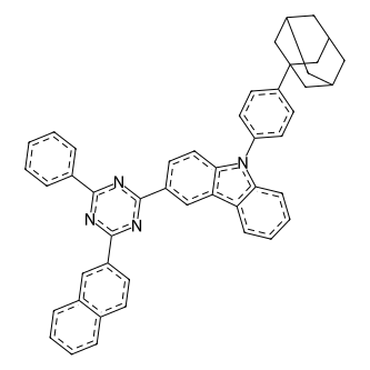 c1ccc(-c2nc(-c3ccc4ccccc4c3)nc(-c3ccc4c(c3)c3ccccc3n4-c3ccc(C45CC6CC(CC(C6)C4)C5)cc3)n2)cc1